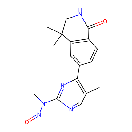 Cc1cnc(N(C)N=O)nc1-c1ccc2c(c1)C(C)(C)CNC2=O